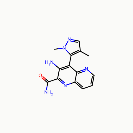 Cc1cnn(C)c1-c1c(N)c(C(N)=O)nc2cccnc12